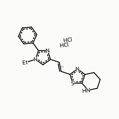 CCn1cc(/C=C/c2nc3c(s2)NCCC3)nc1-c1ccccc1.Cl.Cl